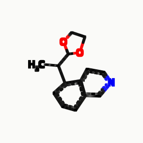 CC(c1cccc2cnccc12)C1OCCO1